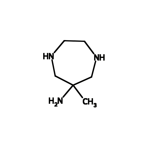 CC1(N)CNCCNC1